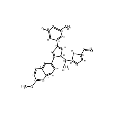 COc1ccc2cc(-c3cc(-c4cc(C)cc(I)c4)nn3C(C)c3ccc(C=O)s3)ccc2c1